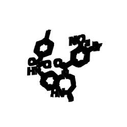 Cc1ccc(S(=O)(=O)Nc2ccc3c(c2)N(C(=O)c2ccc(Br)c([N+](=O)[O-])c2)CCC(C)N3)cc1